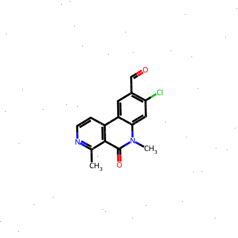 Cc1nccc2c1c(=O)n(C)c1cc(Cl)c(C=O)cc21